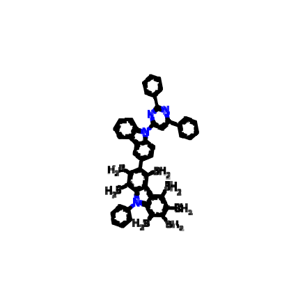 Bc1c(B)c(B)c2c(c1B)c1c(B)c(-c3ccc4c(c3)c3ccccc3n4-c3cc(-c4ccccc4)nc(-c4ccccc4)n3)c(B)c(B)c1n2-c1ccccc1